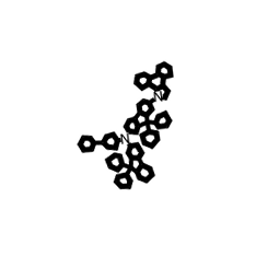 c1ccc(-c2ccc(N(c3ccc4c(c3)C(c3ccccc3)(c3ccccc3)c3ccccc3-4)c3ccc4c(c3)C(c3ccccc3)(c3ccccc3)c3cc(-n5ccc6c7ccccc7c7ccccc7c65)ccc3-4)cc2)cc1